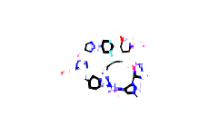 COC[C@@H]1CN(C(=O)[C@@H]2CCN(c3cc(F)c([C@H]4CCC(=O)NC4=O)c(F)c3)C2)CCN1Cc1ccc2c(c1)N1C[C@H](C)CCCOc3c(cnn3C)-c3cc(cc(C)n3)C(=O)/N=C/1N2